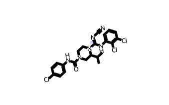 CC(C)C1CN(C(=O)Nc2ccc(Cl)cc2)CCN1/C(=N/C#N)Nc1cccc(Cl)c1Cl